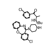 CC(NC(C)(C)C)C(=O)c1cccc(Cl)c1.Clc1ccc2c(c1)C(N1CCNCC1)=Nc1ccccc1O2